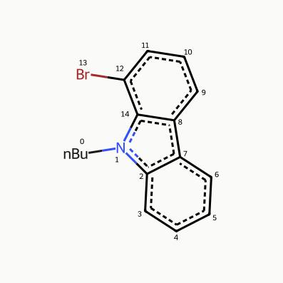 CCCCn1c2ccccc2c2cccc(Br)c21